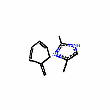 C=C1C=CC=CC1.Cc1c[nH]c(C)n1